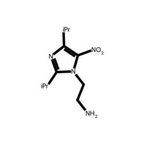 CC(C)c1nc(C(C)C)n(CCN)c1[N+](=O)[O-]